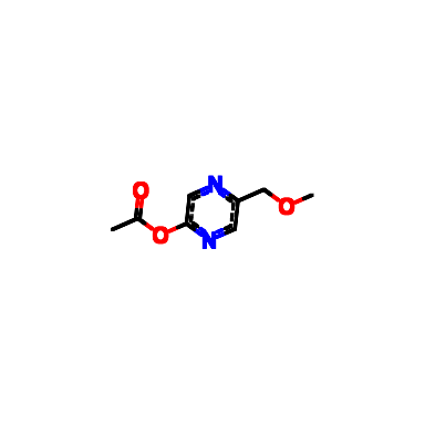 COCc1cnc(OC(C)=O)cn1